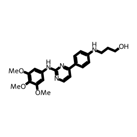 COc1cc(Nc2nccc(-c3ccc(NCCCO)cc3)n2)cc(OC)c1OC